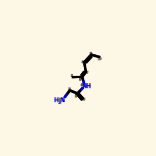 C=C(CN)N/C(C)=C/C=C\C